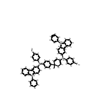 CC1(c2ccc(N(c3ccc(F)cc3)c3ccc4c(c3)c3ccccc3n4-c3ccccc3)cc2)C=CC(N(c2ccc(F)cc2)c2ccc3c(c2)c2ccccc2n3-c2cc#ccc2)=CC1